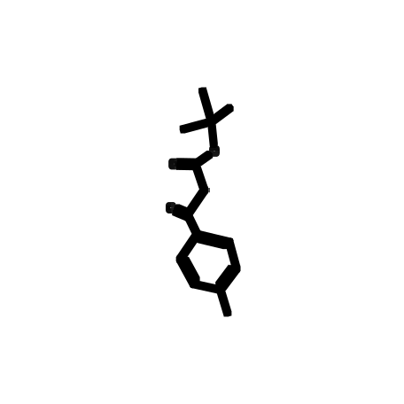 Cc1ccc(C(=O)[CH]C(=O)OC(C)(C)C)cc1